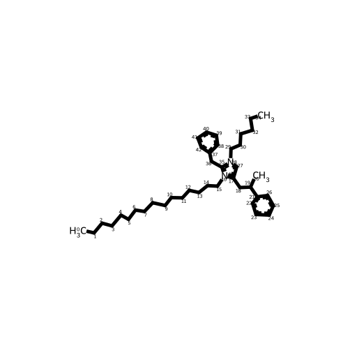 CCCCCCCCCCCCCCCC[n+]1c(CC(C)c2ccccc2)cn(CCCCCC)c1Cc1ccccc1